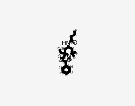 CCCC(=O)NC1CC(C)(C)N(OC(C)c2ccccc2)C(CC)(CC)C1